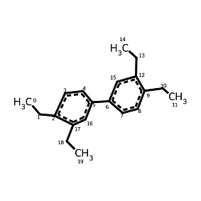 CCc1ccc(-c2ccc(CC)c(CC)c2)cc1CC